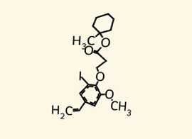 C=Cc1cc(I)c(OCCC(=O)OC2(C)CCCCC2)c(OC)c1